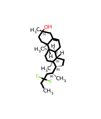 CCC(F)(F)C[C@@H](C)[C@H]1CC[C@H]2[C@@H]3CC=C4C[C@@](C)(O)CC[C@]4(C)[C@H]3CC[C@]12C